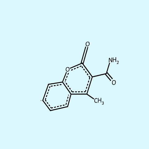 Cc1c(C(N)=O)c(=O)oc2c[c]ccc12